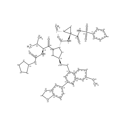 C=C[C@@H]1C[C@]1(NC(=O)[C@@H]1C[C@@H](OCc2cc(-c3ccc4c(c3)OCO4)nc3cc(OC)ccc23)CN1C(=O)[C@@H](NC(=O)OC1CCCC1)C(C)C)C(=O)NS(=O)(=O)c1ccccc1